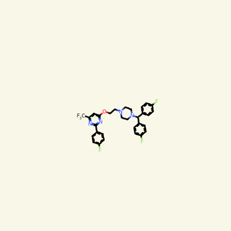 Fc1ccc(-c2nc(OCCN3CCN(C(c4ccc(F)cc4)c4ccc(F)cc4)CC3)cc(C(F)(F)F)n2)cc1